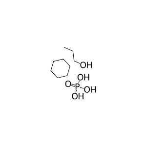 C1CCCCC1.CCCO.O=P(O)(O)O